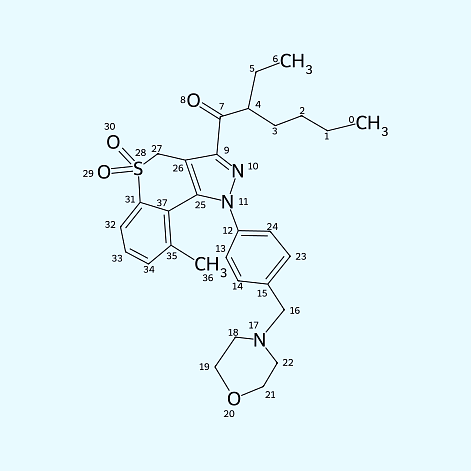 CCCCC(CC)C(=O)c1nn(-c2ccc(CN3CCOCC3)cc2)c2c1CS(=O)(=O)c1cccc(C)c1-2